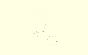 CC(C)(C(=O)O)C(CCNC=O)c1cscn1